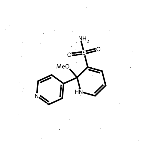 COC1(c2ccncc2)NC=CC=C1S(N)(=O)=O